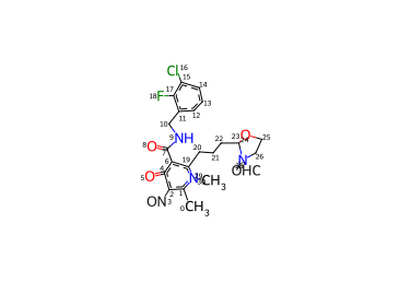 Cc1c(N=O)c(=O)c(C(=O)NCc2cccc(Cl)c2F)c(CCCC2OCCN2C=O)n1C